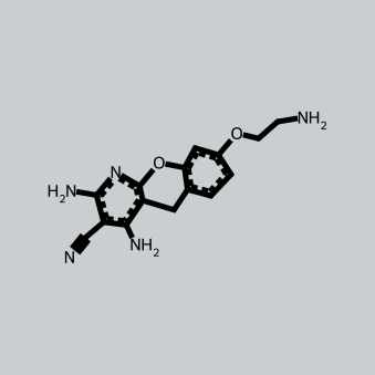 N#Cc1c(N)nc2c(c1N)Cc1ccc(OCCN)cc1O2